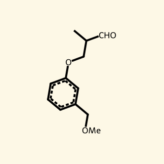 COCc1cccc(OCC(C)C=O)c1